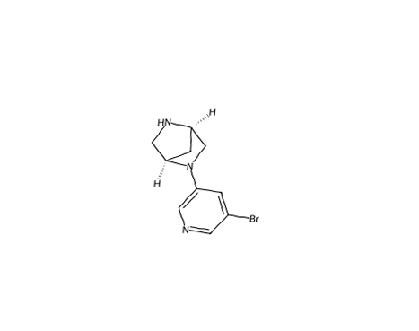 Brc1cncc(N2C[C@H]3C[C@@H]2CN3)c1